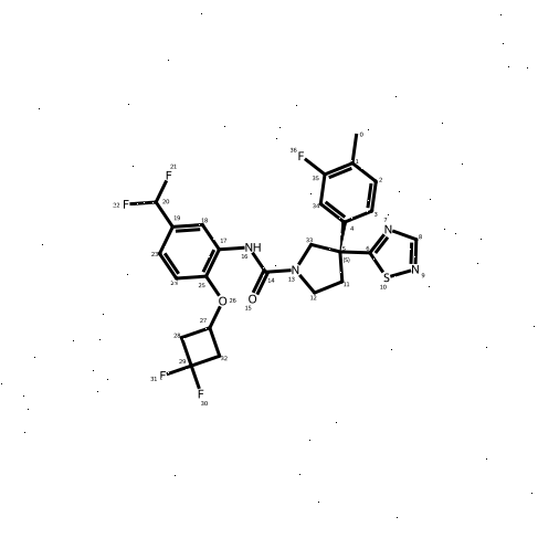 Cc1ccc([C@@]2(c3ncns3)CCN(C(=O)Nc3cc(C(F)F)ccc3OC3CC(F)(F)C3)C2)cc1F